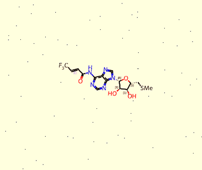 CSC[C@H]1O[C@@H](n2cnc3c(NC(=O)/C=C/C(F)(F)F)ncnc32)[C@H](O)[C@@H]1O